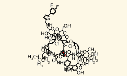 CN[C@H](CC(C)C)C(=O)N[C@H]1C(=O)N[C@@H](CC(N)=O)C(=O)N[C@H]2C(=O)N[C@H]3C(=O)N[C@H](C(=O)N[C@@H](C(=O)O)c4cc(O)cc(O)c4-c4cc3ccc4O)[C@H](O[C@H]3C[C@](C)(N)[C@@H](O)[C@H](C)O3)c3ccc(c(Cl)c3)Oc3cc2cc(c3O[C@@H]2O[C@H](CO)[C@@H](O[C@@H]3O[C@H](CNCc4ccc(-c5ccc(F)c(F)c5)s4)[C@H](O)[C@H](O)[C@H]3O)[C@H](O)[C@H]2O)Oc2ccc(cc2Cl)[C@H]1O